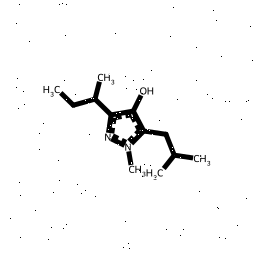 CCC(C)c1nn(C)c(CC(C)C)c1O